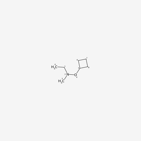 CCN(C)OC1CCC1